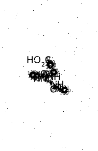 O=C(NCCC[C@H](NC(=O)c1cc2ccccc2o1)C(=O)Nc1cccc(-c2ccc(C(=O)O)cc2)c1)OCc1ccccc1